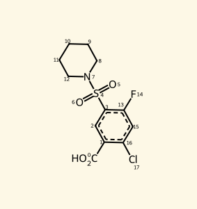 O=C(O)c1cc(S(=O)(=O)N2CCCCC2)c(F)cc1Cl